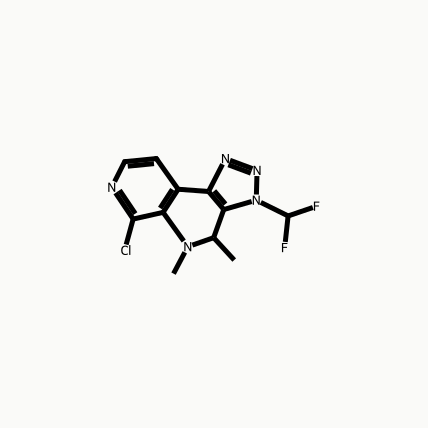 CC1c2c(nnn2C(F)F)-c2ccnc(Cl)c2N1C